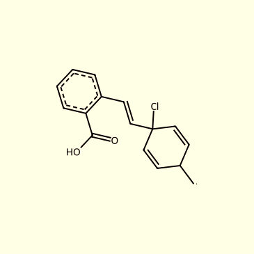 [CH2]C1C=CC(Cl)(/C=C/c2ccccc2C(=O)O)C=C1